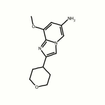 COc1cc(N)cn2cc(C3CCOCC3)nc12